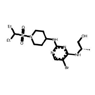 CCC(CC)S(=O)(=O)N1CCC(Nc2ncc(Br)c(N[C@@H](C)CO)n2)CC1